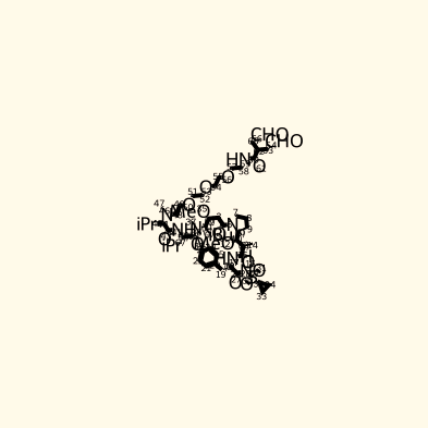 CC[C@H](C)[C@@H]([C@@H](CC(=O)N1CCC[C@H]1[C@H](OC)[C@@H](C)C(=O)N[C@@H](Cc1ccccc1)C(=O)NS(=O)(=O)C1CC1)OC)N(C)C(=O)[C@@H](NC(=O)C(C(C)C)N(C)CCOCCOCCOCCNC(=O)C(CC=O)CC=O)C(C)C